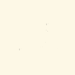 CC(C)CCOC1(C)CN(C(C)C)C1